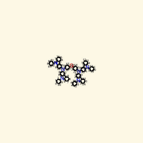 c1ccc(-n2c3ccccc3c3cc(N(c4ccc(Oc5ccc(N(c6ccc7c(c6)c6ccccc6n7-c6ccccc6)c6ccc7c(c6)c6ccccc6n7-c6ccccc6)cc5)cc4)c4ccc5c(c4)c4ccccc4n5-c4ccccc4)ccc32)cc1